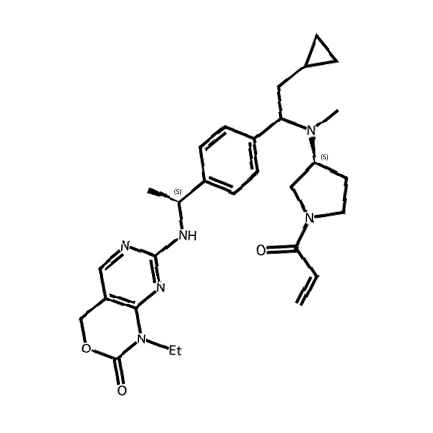 C=CC(=O)N1CC[C@H](N(C)C(CC2CC2)c2ccc([C@H](C)Nc3ncc4c(n3)N(CC)C(=O)OC4)cc2)C1